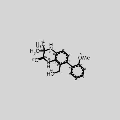 COc1ccccc1-c1ccc2c(c1CO)NC(=O)C(C)(C)N2